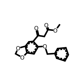 COC(=O)CC(=O)c1cc2c(cc1OCc1ccccc1)OCO2